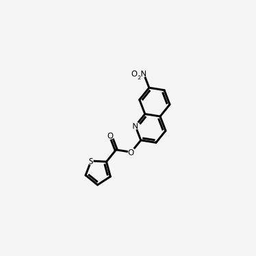 O=C(Oc1ccc2ccc([N+](=O)[O-])cc2n1)c1cccs1